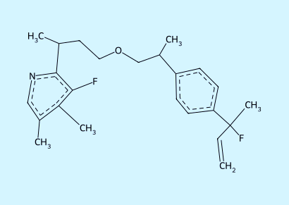 C=CC(C)(F)c1ccc(C(C)COCCC(C)c2ncc(C)c(C)c2F)cc1